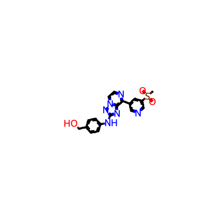 CS(=O)(=O)c1cncc(-c2nccn3nc(Nc4ccc(CO)cc4)nc23)c1